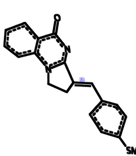 CSc1ccc(/C=C2\CCn3c2nc(=O)c2ccccc23)cc1